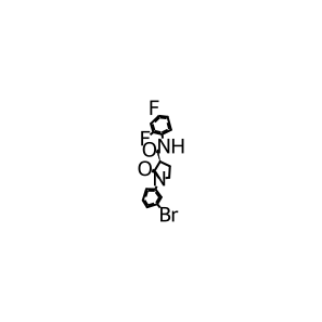 O=C(Nc1ccc(F)cc1F)[C@H]1CCN(c2cccc(Br)c2)C1=O